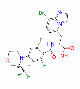 O=C(NC(Cc1ccc(Br)c2nccn12)C(=O)O)c1c(F)cc(N2CCOC[C@@H]2C(F)(F)F)cc1F